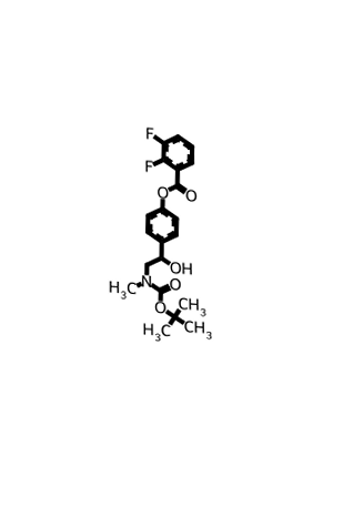 CN(CC(O)c1ccc(OC(=O)c2cccc(F)c2F)cc1)C(=O)OC(C)(C)C